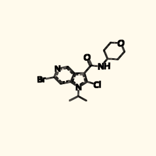 CC(C)n1c(Cl)c(C(=O)NC2CCOCC2)c2cnc(Br)cc21